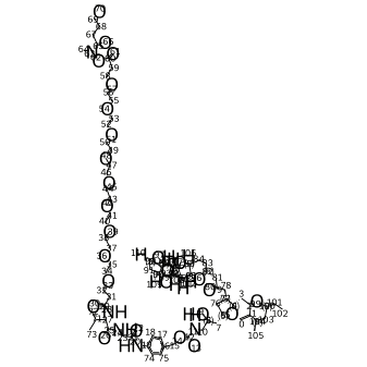 C=C1C(C[C@@H]2O[C@H](C[C@H](O)CNC(=O)OCc3ccc(NC(=O)CNC(=O)C(NC(=O)CCOCCOCCOCCOCCOCCOCCOCCOCCOCCC(=O)ON(C)C(=O)CCC=O)C(C)C)cc3)C[C@H]2CC(=O)C[C@H]2CC[C@@H]3O[C@@H]4[C@H]5O[C@@H]6C[C@H](O[C@H]5[C@H]3O2)O[C@H]46)O[C@@H](CC)C[C@H]1C